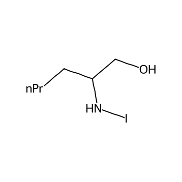 CCCCC(CO)NI